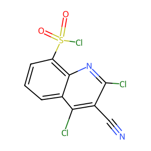 N#Cc1c(Cl)nc2c(S(=O)(=O)Cl)cccc2c1Cl